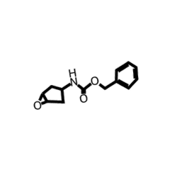 O=C(NC1CC2OC2C1)OCc1ccccc1